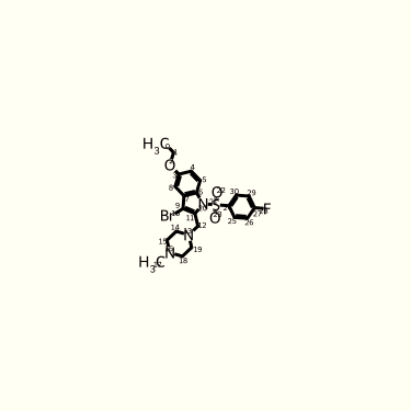 CCOc1ccc2c(c1)c(Br)c(CN1CCN(C)CC1)n2S(=O)(=O)c1ccc(F)cc1